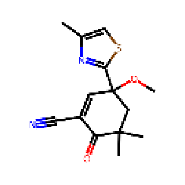 COC1(c2nc(C)cs2)C=C(C#N)C(=O)C(C)(C)C1